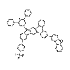 FC(F)(F)c1ccc(-c2ccc3c(c2)c2cc4c5ccc(-c6ccc7oc8ccccc8c7c6)cc5c5ccccc5c4cc2n3-c2cc(-c3ccccc3)nc(-c3ccccc3)c2)cc1